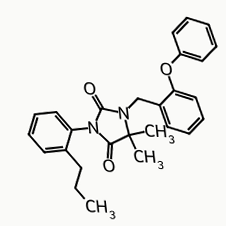 CCCc1ccccc1N1C(=O)N(Cc2ccccc2Oc2ccccc2)C(C)(C)C1=O